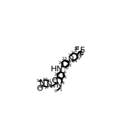 CCN(Cc1ccc(Nc2ccc(N3CCC(C(F)(F)F)CC3)cc2)cc1)C(=O)CN1CCN(C)C(=O)C1